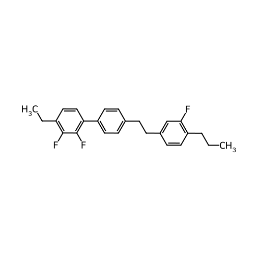 CCCc1ccc(CCc2ccc(-c3ccc(CC)c(F)c3F)cc2)cc1F